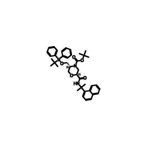 CC(C)(C)OC(=O)N1C[C@@H](C(=O)NC(C)(C)c2cccc3ccccc23)OC[C@@H]1CO[Si](c1ccccc1)(c1ccccc1)C(C)(C)C